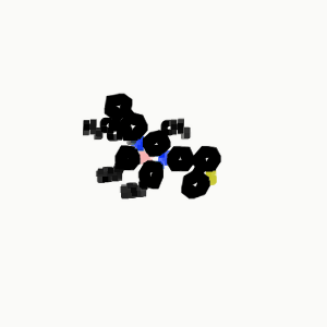 Cc1cc2c3c(c1)N(c1ccc4c(c1)C(C)(C)c1ccccc1-4)c1ccc(C(C)(C)C)cc1B3c1cc(C(C)(C)C)ccc1N2c1ccc(-c2cccc3sc4ccccc4c23)cc1